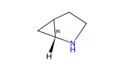 C1CC2C[C@H]2N1